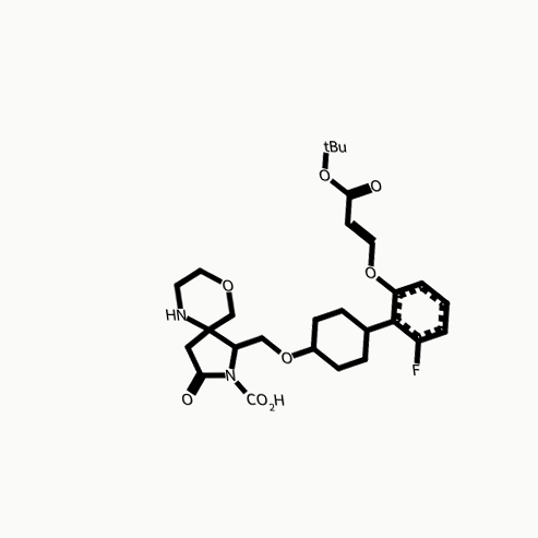 CC(C)(C)OC(=O)/C=C/Oc1cccc(F)c1C1CCC(OCC2N(C(=O)O)C(=O)CC23COCCN3)CC1